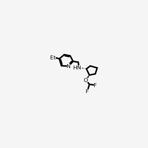 CCc1ccc(CN[C@@H]2CCC[C@H]2OC(F)F)nc1